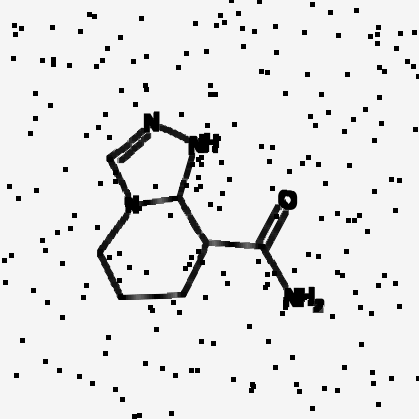 NC(=O)C1CCCN2C=NNC12